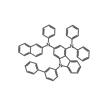 c1ccc(-c2cccc(-n3c4ccccc4c4c(N(c5ccccc5)c5ccccc5)cc(N(c5ccccc5)c5ccc6ccccc6c5)cc43)c2)cc1